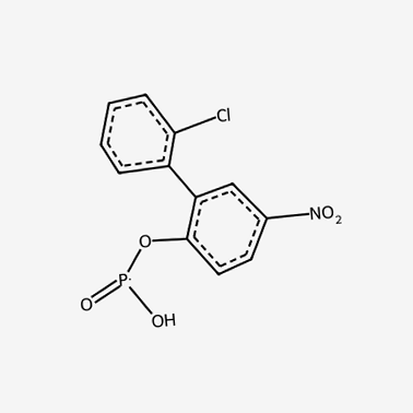 O=[N+]([O-])c1ccc(O[P](=O)O)c(-c2ccccc2Cl)c1